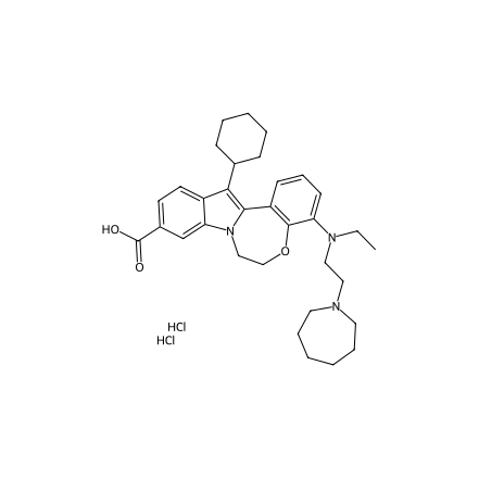 CCN(CCN1CCCCCC1)c1cccc2c1OCCn1c-2c(C2CCCCC2)c2ccc(C(=O)O)cc21.Cl.Cl